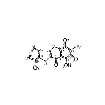 CC(C)n1c(=O)c(O)c2n(c1=O)CCN(Cc1ccccc1C#N)C2=O